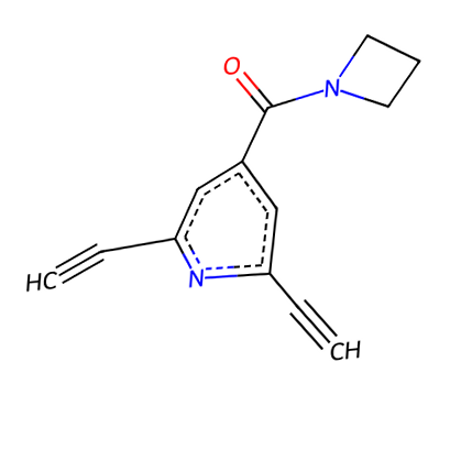 C#Cc1cc(C(=O)N2CCC2)cc(C#C)n1